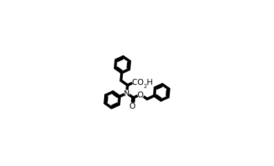 O=C(O)C(Cc1ccccc1)N(C(=O)OCc1ccccc1)c1ccccc1